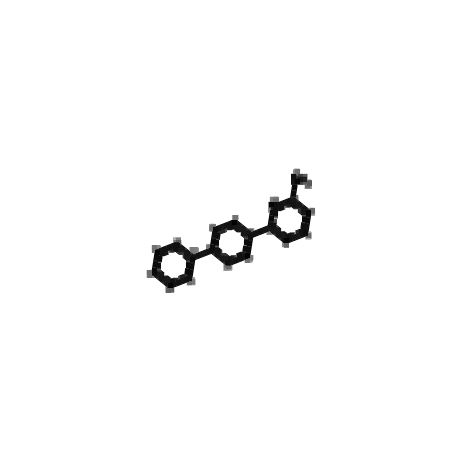 Nc1cccc(-c2ccc(-c3ccccc3)cc2)n1